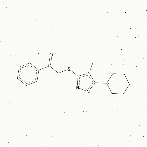 Cn1c(SCC(=O)c2ccccc2)nnc1C1CCCCC1